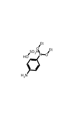 CCON(OCC)c1ccc(N)cc1.O=S(=O)(O)O